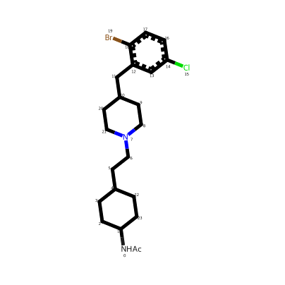 CC(=O)NC1CCC(CCN2CCC(Cc3cc(Cl)ccc3Br)CC2)CC1